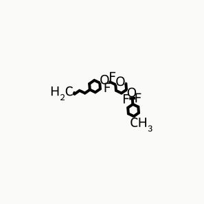 C=CCCC1CCC(OC(F)(F)C2CCC(OC(F)(F)C3CCC(C)CC3)CO2)CC1